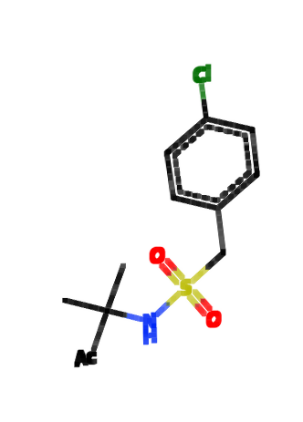 CC(=O)C(C)(C)NS(=O)(=O)Cc1ccc(Cl)cc1